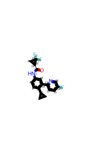 O=C(Nc1ccc(C2CC2)c(-c2ccc(F)cn2)c1)[C@@H]1CC1(F)F